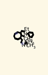 C=C1C2=C(C=C(CC)N1c1ccccc1)/C=C\CC=C=C2C/C=N\N(C)C